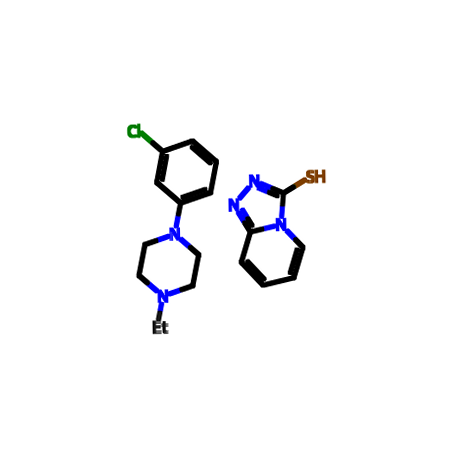 CCN1CCN(c2cccc(Cl)c2)CC1.Sc1nnc2ccccn12